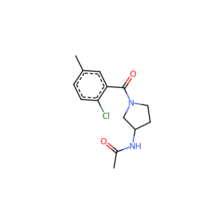 CC(=O)NC1CCN(C(=O)c2cc(C)ccc2Cl)C1